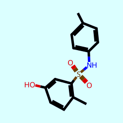 Cc1ccc(NS(=O)(=O)c2cc(O)ccc2C)cc1